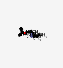 Bc1nc2cc(-n3c(C)c(/C=C\C=C)c(/C=C(\C=C)c4cccc(-c5nc6cc(-c7nc(-c8ccccc8)nc(-c8ccccc8)n7)ccc6s5)c4)c3BC)ccc2s1